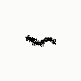 CC(C)(C)OC(=O)N1CCN(CC2CCN(c3ccc(-c4cc5c(cc4Cl)C[C@H](C(=O)NCc4nc(C(C)(C)C(F)(F)F)n[nH]4)O5)cn3)CC2)CC1